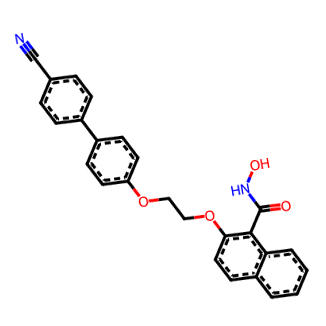 N#Cc1ccc(-c2ccc(OCCOc3ccc4ccccc4c3C(=O)NO)cc2)cc1